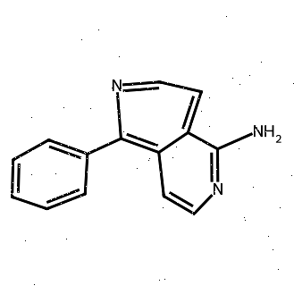 Nc1nccc2c(-c3ccccc3)nccc12